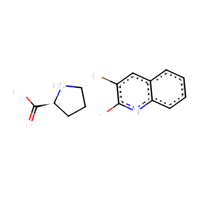 O=C(O)[C@@H]1C[C@@H](Oc2nc3ccccc3cc2Br)CN1